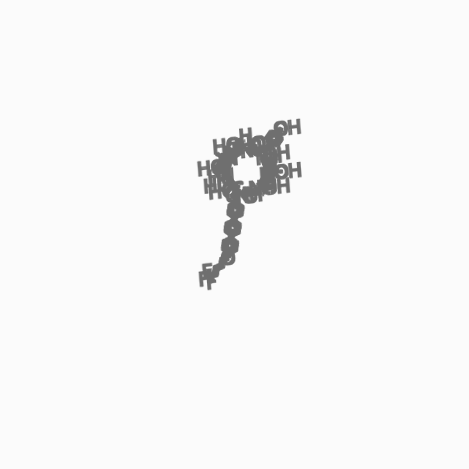 C[C@@H](O)[C@@H]1NC(=O)[C@H]([C@H](O)[C@@H](O)c2ccc(O)cc2)NC(=O)[C@@H]2C[C@@H](O)CN2C(=O)[C@H]([C@@H](C)O)NC(=O)[C@@H](NC(=O)c2ccc(-c3ccc(-c4ccc(OCCCCC(F)(F)F)cc4)cc3)cc2)C[C@@H](O)[C@@H](O)NC(=O)[C@@H]2[C@@H](O)[C@@H](C)CN2C1=O